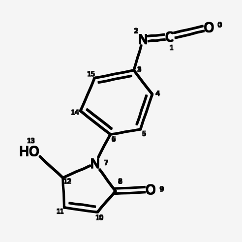 O=C=Nc1ccc(N2C(=O)C=CC2O)cc1